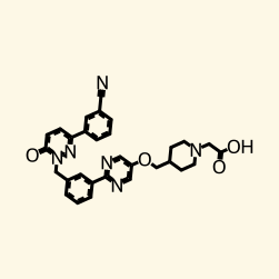 N#Cc1cccc(-c2ccc(=O)n(Cc3cccc(-c4ncc(OCC5CCN(CC(=O)O)CC5)cn4)c3)n2)c1